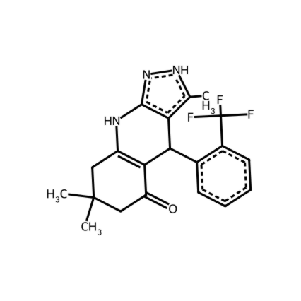 Cc1[nH]nc2c1C(c1ccccc1C(F)(F)F)C1=C(CC(C)(C)CC1=O)N2